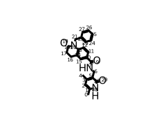 Cc1cc(C)c(CNC(=O)c2ccc3c(c2)CCC(=O)N3Cc2ccccc2)c(=O)[nH]1